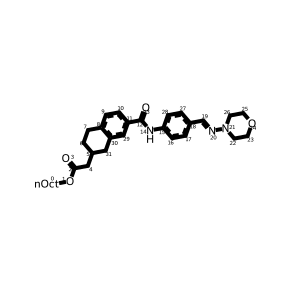 CCCCCCCCOC(=O)CC1CCc2ccc(C(=O)Nc3ccc(/C=N/N4CCOCC4)cc3)cc2C1